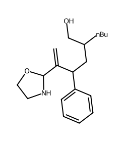 C=C(C1NCCO1)C(CC(CO)CCCC)c1ccccc1